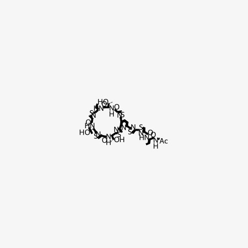 C/C=C(\NC(=O)c1csc(-c2csc(-c3ccc4c(n3)-c3csc(n3)[C@H]([C@@H](C)O)NC(=O)c3csc(n3)[C@H](C(C)(C)O)NC(=O)c3csc(n3)/C(=C/C)NC(=O)[C@H]([C@@H](C)O)NC(=O)c3csc-4n3)n2)n1)C(=O)NCC(C)=O